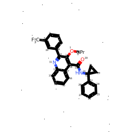 CC(C)Oc1c(-c2cccc(C(F)(F)F)c2)nc2ccccc2c1C(=O)NC1(c2ccccc2)CC1